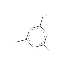 CC(C)(C)c1nc(C#N)nc(C#N)n1